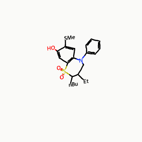 CCCCC1C(CC)CN(c2ccccc2)c2cc(SC)c(O)cc2S1(=O)=O